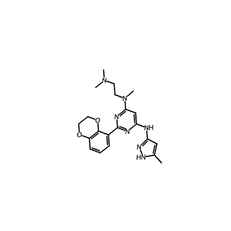 Cc1cc(Nc2cc(N(C)CCN(C)C)nc(-c3cccc4c3OCCO4)n2)n[nH]1